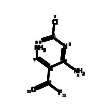 C=C(Cl)/N=C(N)\C(=C/N)C(=O)F